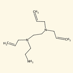 C=CCN(CC=C)CCN(CC=C)CCN